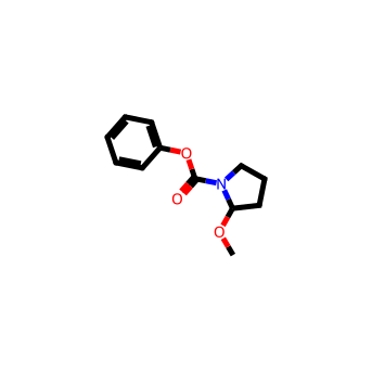 COC1CCCN1C(=O)Oc1ccccc1